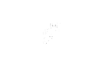 COc1ccc2ncc(CN3CCOCC3)c(C(O)CCC3(CO)CCN(CC#Cc4c(F)cc(F)cc4F)CC3)c2c1